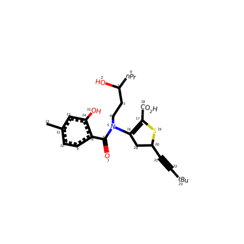 CCCC(O)CCN(C(=O)c1ccc(C)cc1O)C1=C(C(=O)O)SC(C#CC(C)(C)C)C1